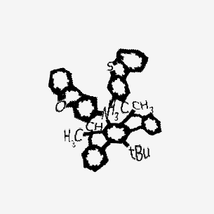 CC(C)(C)c1c2c(c(N(c3ccc4c(c3)sc3ccccc34)c3ccc4oc5ccccc5c4c3)c3c1-c1ccccc1C3(C)C)C(C)(C)c1ccccc1-2